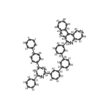 c1ccc(-c2ccc(-c3nc(-c4ccccc4)nc(-c4cccc(-c5cccc(-c6cccc(-c7nc8ccncc8c8c7sc7ccccc78)c6)c5)c4)n3)cc2)cc1